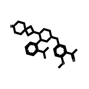 COc1ccc(CN2CCN(C3CC4(CCNCC4)C3)C(c3ccccc3C(C)C)C2)cc1C(C)=O